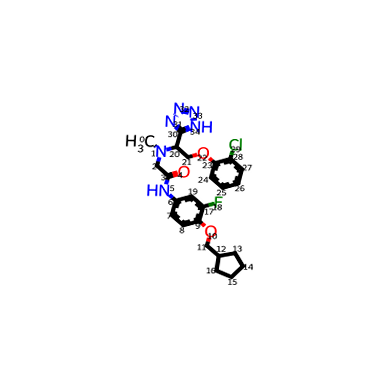 CN(CC(=O)Nc1ccc(OCC2CCCC2)c(F)c1)C(COc1ccccc1Cl)c1nnn[nH]1